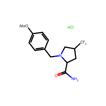 COc1ccc(CN2CC(C(F)(F)F)CC2C(N)=O)cc1.Cl